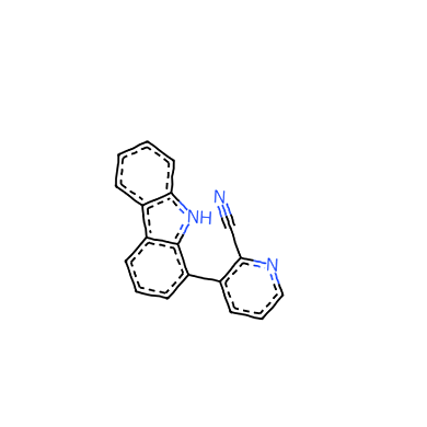 N#Cc1ncccc1-c1cccc2c1[nH]c1ccccc12